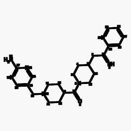 N=C(CC1CCN(C(=O)C2CCN(Cc3cnc(N)nc3)CC2)CC1)c1ccccn1